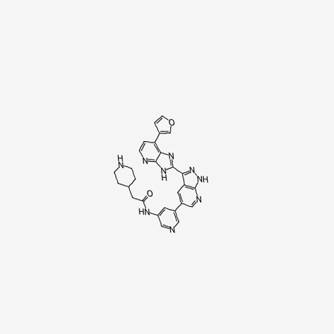 O=C(CC1CCNCC1)Nc1cncc(-c2cnc3[nH]nc(-c4nc5c(-c6ccoc6)ccnc5[nH]4)c3c2)c1